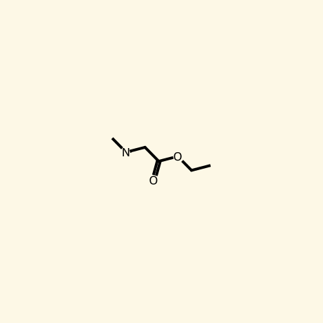 CCOC(=O)C[N]C